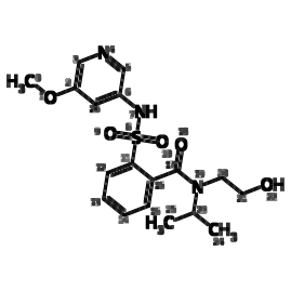 COc1cncc(NS(=O)(=O)c2ccccc2C(=O)N(CCO)C(C)C)c1